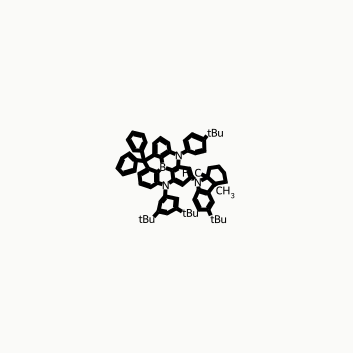 CC(C)(C)c1ccc(N2c3cc(N4c5ccc(C(C)(C)C)cc5C5(C)CCCCC45C)cc4c3B3c5c2cccc5C(c2ccccc2)(c2ccccc2)c2cccc(c23)N4c2cc(C(C)(C)C)cc(C(C)(C)C)c2)cc1